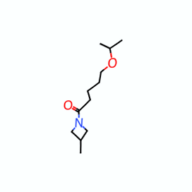 CC1CN(C(=O)CCCCOC(C)C)C1